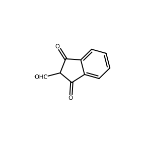 O=[C]C1C(=O)c2ccccc2C1=O